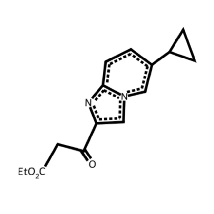 CCOC(=O)CC(=O)c1cn2cc(C3CC3)ccc2n1